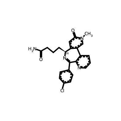 Cn1cc2c(cc1=O)[C@H](CCCC(N)=O)N=C(c1ccc(Cl)cc1)c1ncccc1-2